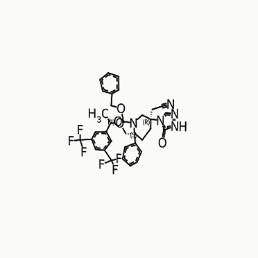 C[C@@H](OC[C@@]1(c2ccccc2)CC[C@](CC#N)(n2cn[nH]c2=O)CN1C(=O)OCc1ccccc1)c1cc(C(F)(F)F)cc(C(F)(F)F)c1